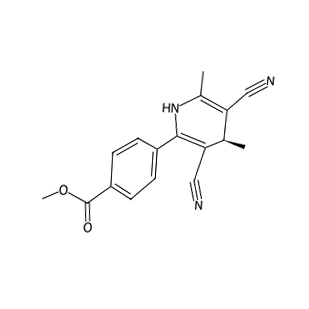 COC(=O)c1ccc(C2=C(C#N)[C@H](C)C(C#N)=C(C)N2)cc1